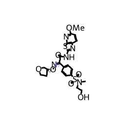 COc1ccc2nc(NC(=O)/C(=N/O[C@@H]3CCOC3)c3ccc(S(=O)(=O)N(C)CCO)cc3)sc2n1